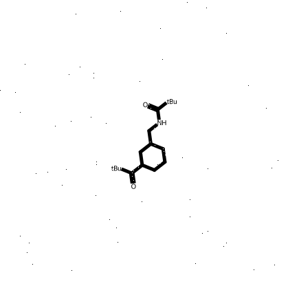 CC(C)(C)C(=O)NCC1CCCC(C(=O)C(C)(C)C)C1